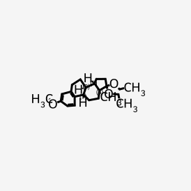 CCOC1(OCC)CC[C@H]2[C@@H]3CCc4cc(OC)ccc4[C@H]3CC[C@@]21C